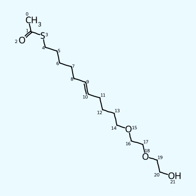 CC(=O)SCCCCC/C=C/CCCCOCCOCCO